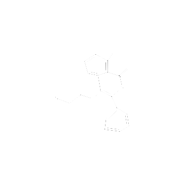 NCCOc1c(-c2ccccc2)[nH]c(=O)c2c(F)cccc12